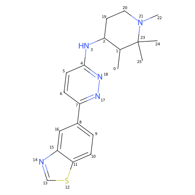 CC1C(Nc2ccc(-c3ccc4scnc4c3)nn2)CCN(C)C1(C)C